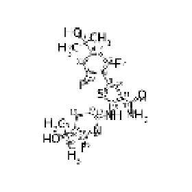 CC(C)(O)c1cc(F)c(-c2cc(C(N)=O)c(Nc3ccc(C(C)(C)O)c(F)n3)s2)c(F)c1